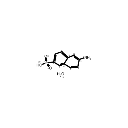 Nc1ccc2cc(S(=O)(=O)O)ccc2c1.O